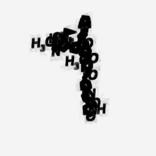 CC(C)n1cnc2cc(-c3ccc4c(c3)N([C@H]3C[C@@H](N5CC6CCC(C6)C5)C3)C(=O)C43CCN(C(=O)C4(C)CCN(C(=O)CC5CCN(c6ccc(C7CCC(=O)NC7=O)cn6)CC5)CC4)CC3)nc(NC3CC3)c21